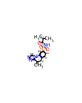 CC(C)C(=O)NS(=O)(=O)c1ccc(CC(C)c2nnc[nH]2)cc1